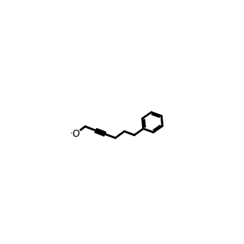 [O]CC#CCCCc1ccccc1